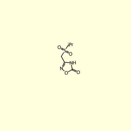 CC(C)S(=O)(=O)Cc1noc(=O)[nH]1